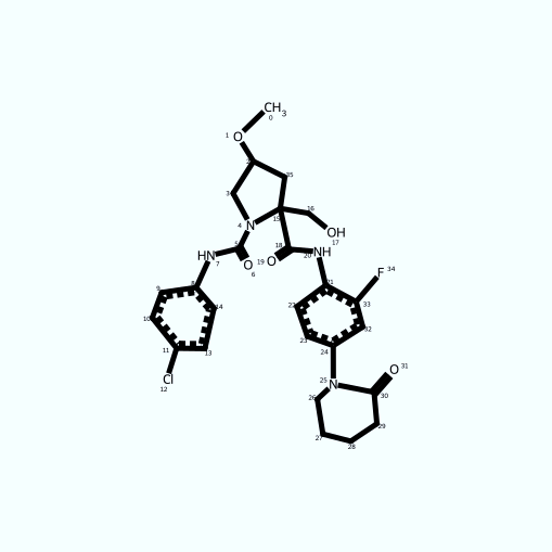 COC1CN(C(=O)Nc2ccc(Cl)cc2)C(CO)(C(=O)Nc2ccc(N3CCCCC3=O)cc2F)C1